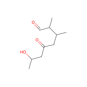 CC(O)CC(=O)CC(C)C(C)C=O